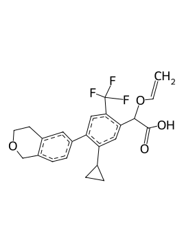 C=COC(C(=O)O)c1cc(C2CC2)c(-c2ccc3c(c2)CCOC3)cc1C(F)(F)F